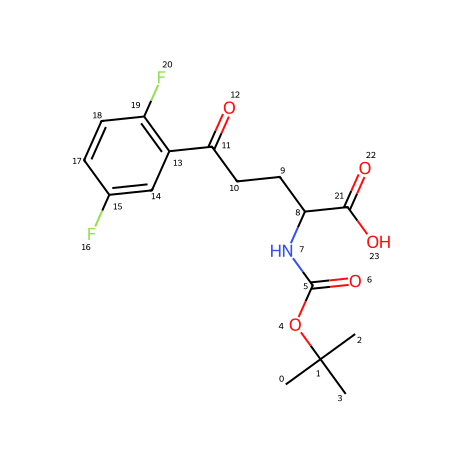 CC(C)(C)OC(=O)NC(CCC(=O)c1cc(F)ccc1F)C(=O)O